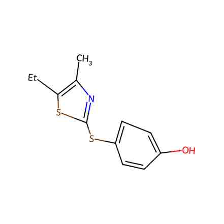 CCc1sc(Sc2ccc(O)cc2)nc1C